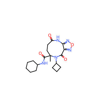 CC1(C(=O)NC2CCCCC2)CCC(=O)Nc2nonc2C(=O)N1C1CCC1